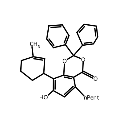 CCCCCc1cc(O)c(C2C=C(C)CCC2)c2c1C(=O)OC(c1ccccc1)(c1ccccc1)O2